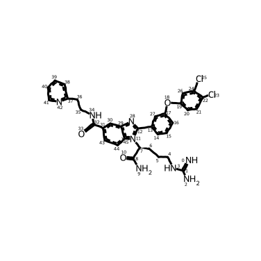 N=C(N)NCCC[C@@H](C(N)=O)n1c(-c2cccc(Oc3ccc(Cl)c(Cl)c3)c2)nc2cc(C(=O)NCCc3ccccn3)ccc21